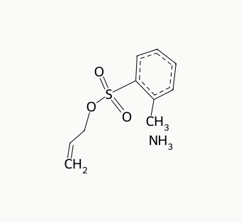 C=CCOS(=O)(=O)c1ccccc1C.N